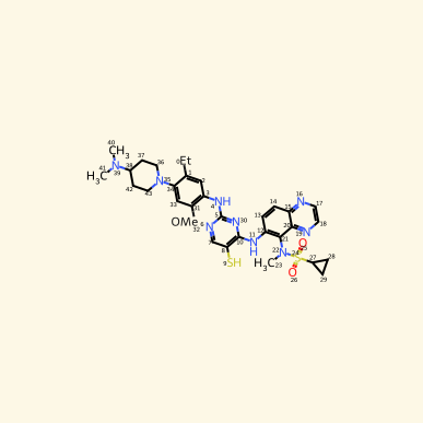 CCc1cc(Nc2ncc(S)c(Nc3ccc4nccnc4c3N(C)S(=O)(=O)C3CC3)n2)c(OC)cc1N1CCC(N(C)C)CC1